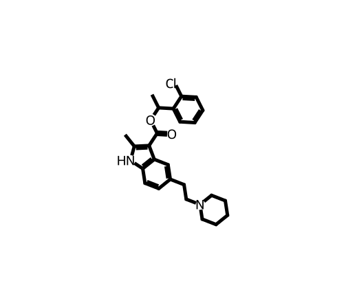 Cc1[nH]c2ccc(CCN3CCCCC3)cc2c1C(=O)OC(C)c1ccccc1Cl